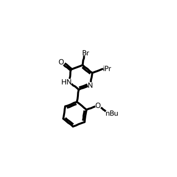 CCCCOc1ccccc1-c1nc(C(C)C)c(Br)c(=O)[nH]1